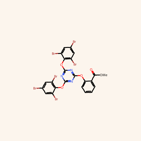 COC(=O)c1ccccc1Oc1nc(Oc2c(Br)cc(Br)cc2Br)nc(Oc2c(Br)cc(Br)cc2Br)n1